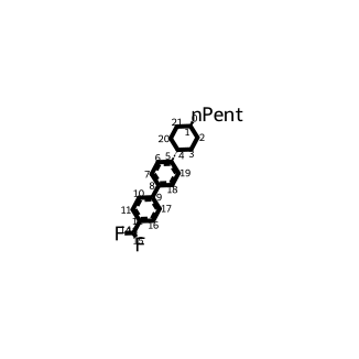 CCCCC[C@H]1CC[C@H](c2ccc(-c3ccc(C(F)F)cc3)cc2)CC1